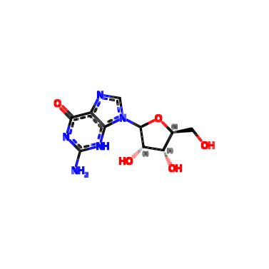 Nc1nc(=O)c2ncn(C3O[C@@H](CO)[C@H](O)[C@@H]3O)c2[nH]1